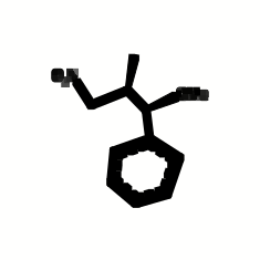 CO[C@@H](c1ccccc1)[C@H](C)C[N+](=O)[O-]